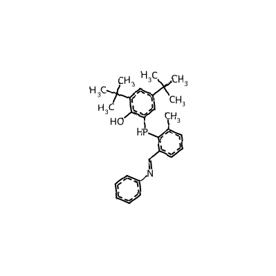 Cc1cccc(/C=N/c2ccccc2)c1Pc1cc(C(C)(C)C)cc(C(C)(C)C)c1O